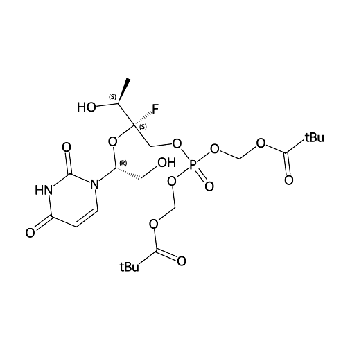 C[C@H](O)[C@@](F)(COP(=O)(OCOC(=O)C(C)(C)C)OCOC(=O)C(C)(C)C)O[C@H](CO)n1ccc(=O)[nH]c1=O